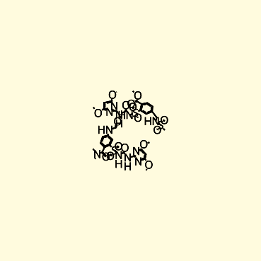 COC(=O)c1ccc(CNS(C)(=O)=O)cc1S(=O)(=O)NC(=O)Nc1nc(OC)cc(OC)n1.COc1cc(OC)nc(NC(=O)NS(=O)(=O)c2cc(NC=O)ccc2C(=O)N(C)C)n1